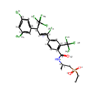 CCS(=O)(=O)C[C@@H](C)NC(=O)c1ccc(/C(F)=C/C(c2cc(Br)cc(Br)c2)C(F)(F)F)cc1C(F)(F)F